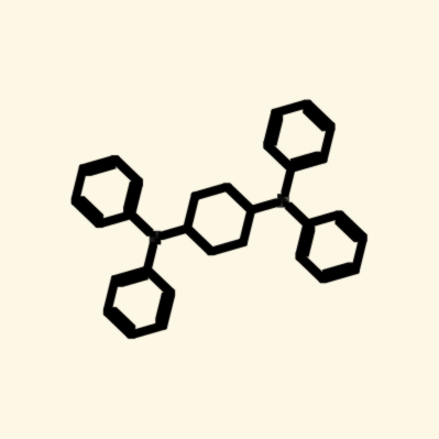 c1ccc(N(c2ccccc2)C2CCC(N(c3ccccc3)c3ccccc3)CC2)cc1